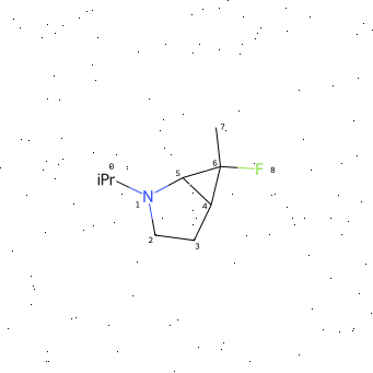 CC(C)N1CCC2C1C2(C)F